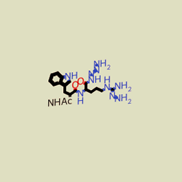 CC(=O)NC(Cc1c[nH]c2ccccc12)C(=O)NC(CCCNC(N)=NN)C(=O)NN=NN